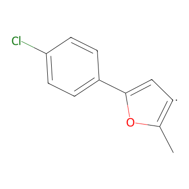 Cc1[c]cc(-c2ccc(Cl)cc2)o1